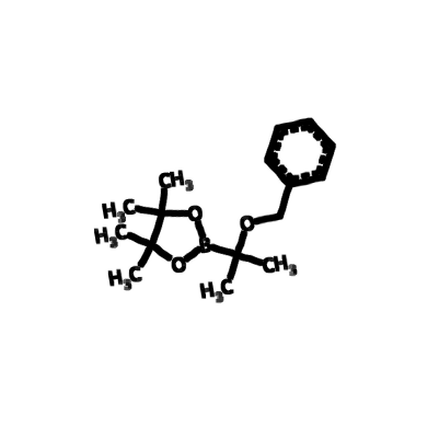 CC(C)(OCc1ccccc1)B1OC(C)(C)C(C)(C)O1